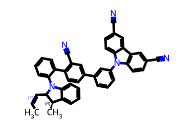 C/C=C\C1[C@H](C)c2ccccc2N1c1ccccc1-c1ccc(-c2cccc(-n3c4ccc(C#N)cc4c4cc(C#N)ccc43)c2)cc1C#N